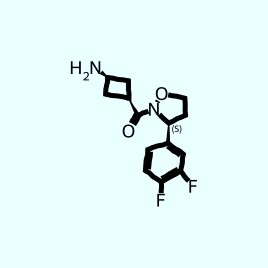 N[C@H]1C[C@@H](C(=O)N2OCC[C@H]2c2ccc(F)c(F)c2)C1